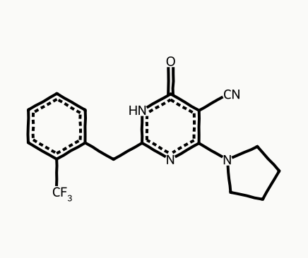 N#Cc1c(N2CCCC2)nc(Cc2ccccc2C(F)(F)F)[nH]c1=O